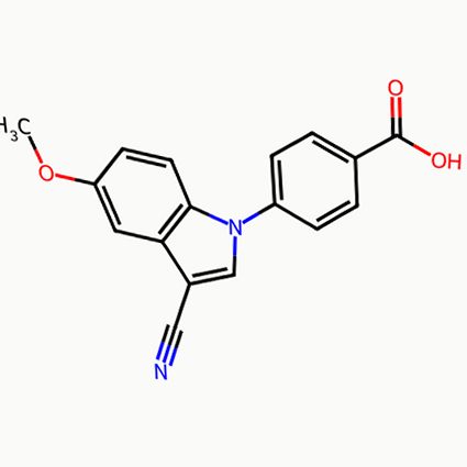 COc1ccc2c(c1)c(C#N)cn2-c1ccc(C(=O)O)cc1